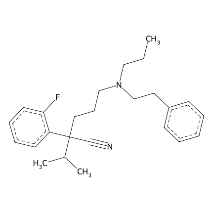 CCCN(CCCC(C#N)(c1ccccc1F)C(C)C)CCc1ccccc1